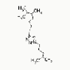 CC(C)CCCn1cc(CCCCC(C)C(C)C)nn1